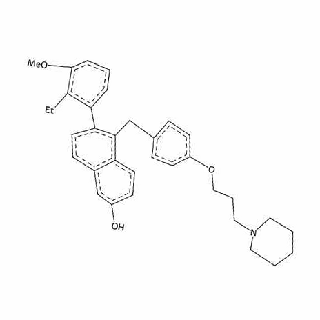 CCc1c(OC)cccc1-c1ccc2cc(O)ccc2c1Cc1ccc(OCCCN2CCCCC2)cc1